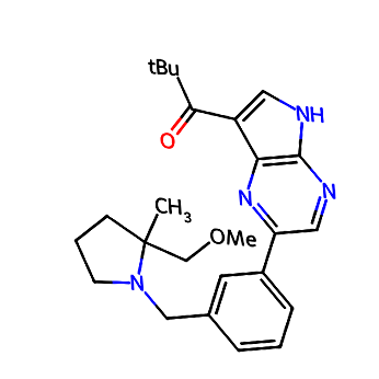 COCC1(C)CCCN1Cc1cccc(-c2cnc3[nH]cc(C(=O)C(C)(C)C)c3n2)c1